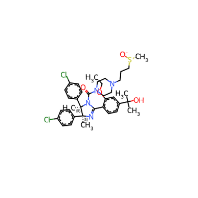 CCOc1cc(C(C)(C)O)ccc1C1=N[C@@](C)(c2ccc(Cl)cc2)[C@@](C)(c2ccc(Cl)cc2)N1C(=O)N1CCN(CCC[S+](C)[O-])CC1